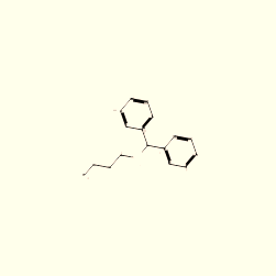 ClCCCOC(c1ccccc1)c1ccccc1